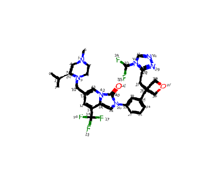 CC(C)[C@H]1CN(C)CCN1Cc1cc(C(F)(F)F)c2cn(-c3cccc(C4(Cc5nncn5C(F)F)COC4)c3)c(=O)n2c1